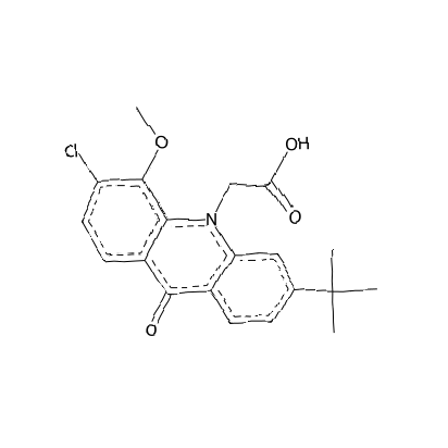 COc1c(Cl)ccc2c(=O)c3ccc(C(C)(C)C)cc3n(CC(=O)O)c12